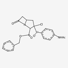 CC(=O)Nc1ccc([S+]([O-])C2(Cl)CC3CC(=O)N3C2C(=O)OCc2ccccc2)cc1